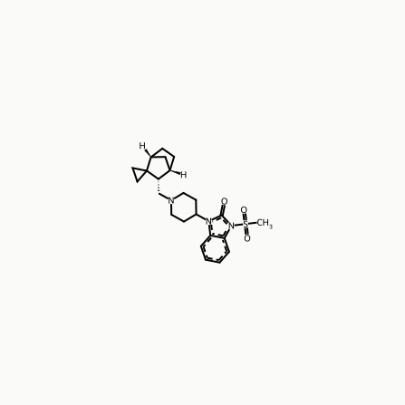 CS(=O)(=O)n1c(=O)n(C2CCN(C[C@H]3[C@H]4CC[C@H](C4)C34CC4)CC2)c2ccccc21